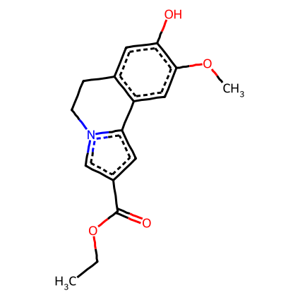 CCOC(=O)c1cc2n(c1)CCc1cc(O)c(OC)cc1-2